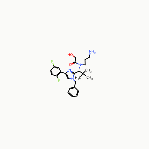 CC(C)(C)[C@H](c1nc(-c2cc(F)ccc2F)cn1Cc1ccccc1)N(CCCN)C(=O)CO